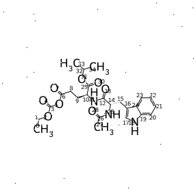 CCOC(=O)OC(=O)CC[C@H](NC(=O)[C@H](Cc1c[nH]c2ccccc12)NC(C)=O)C(=O)OC(C)C